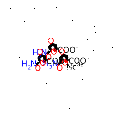 NC(=O)c1cc(=O)cc(C(=O)[O-])o1.NC(=O)c1cc(=O)cc(C(=O)[O-])o1.NC(=O)c1cc(=O)cc(C(=O)[O-])o1.[Nd+3]